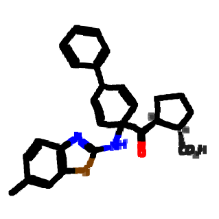 Cc1ccc2nc(NC3(C(=O)[C@H]4CCC[C@@H]4C(=O)O)C=CC(c4ccccc4)C=C3)sc2c1